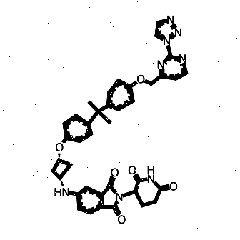 CC(C)(c1ccc(OCc2ccnc(-n3ccnn3)n2)cc1)c1ccc(O[C@H]2C[C@@H](Nc3ccc4c(c3)C(=O)N(C3CCC(=O)NC3=O)C4=O)C2)cc1